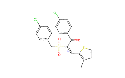 Cc1ccsc1/C=C(\C(=O)c1ccc(Cl)cc1)S(=O)(=O)Cc1ccc(Cl)cc1